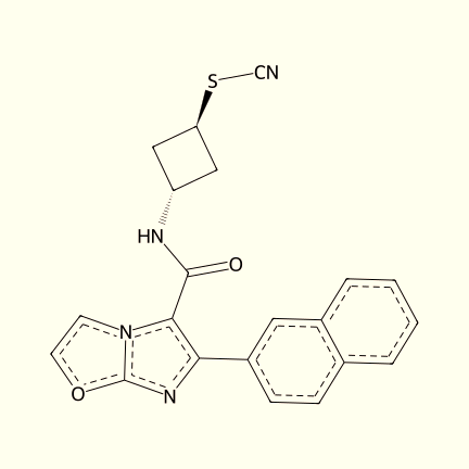 N#CS[C@H]1C[C@H](NC(=O)c2c(-c3ccc4ccccc4c3)nc3occn23)C1